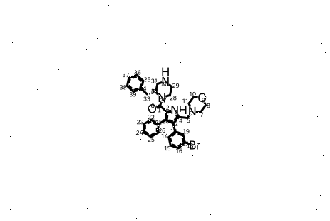 O=C(c1[nH]c(CN2CCOCC2)c(-c2cccc(Br)c2)c1-c1ccccc1)N1CCNC[C@H]1Cc1ccccc1